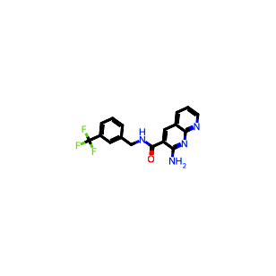 Nc1nc2ncccc2cc1C(=O)NCc1cccc(C(F)(F)F)c1